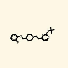 CC(C)(C)Oc1nccc(CCN2CCC(COc3ccccc3F)CC2)n1